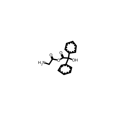 NCC(=O)OC(=O)C(O)(c1ccccc1)c1ccccc1